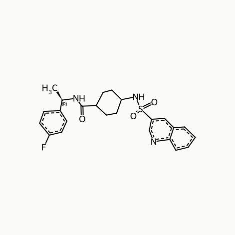 C[C@@H](NC(=O)C1CCC(NS(=O)(=O)c2cnc3ccccc3c2)CC1)c1ccc(F)cc1